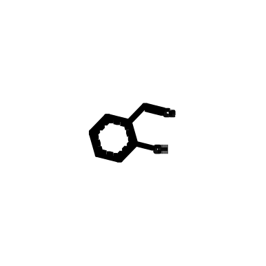 Oc1ccccc1[CH]=[Ce]